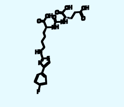 O=C(O)CC[C@H](NC(=O)N[C@@H](CCCCNc1nc(-c2ccc(F)cc2)cs1)C(=O)O)C(=O)O